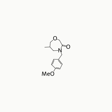 COc1ccc(CN2CC(C)COCC2=O)cc1